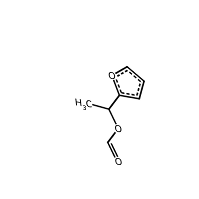 CC(OC=O)c1ccco1